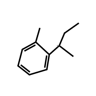 CC[C](C)c1ccccc1C